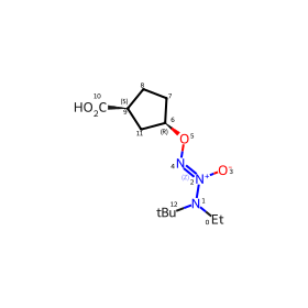 CCN(/[N+]([O-])=N/O[C@@H]1CC[C@H](C(=O)O)C1)C(C)(C)C